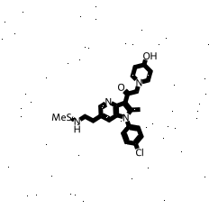 CSNCCc1cnc2c(C(=O)CN3CCC(O)CC3)c(C)n(-c3ccc(Cl)cc3)c2c1